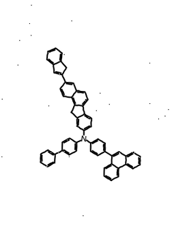 C1=C(c2ccc3c4c(ccc3c2)-c2ccc(N(c3ccc(-c5ccccc5)cc3)c3ccc(-c5cc6ccccc6c6ccccc56)cc3)cc2C4)Cc2ccccc21